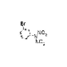 O=[N+]([O-])N(c1cccc(Br)c1)[N+](=O)[O-]